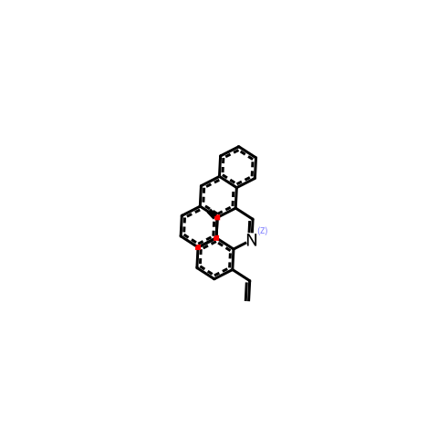 C=Cc1cccc(C=C)c1/N=C\c1c2ccccc2cc2ccccc12